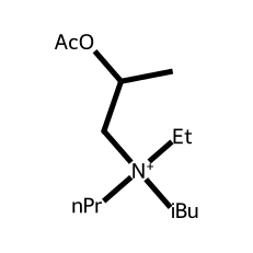 CCC[N+](CC)(CC(C)OC(C)=O)C(C)CC